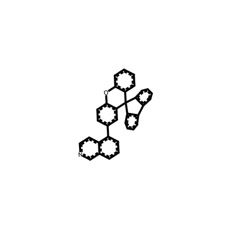 c1ccc2c(c1)Oc1ccc(-c3cccc4cnccc34)cc1C21c2ccccc2-c2ccccc21